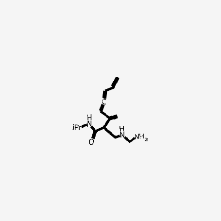 C=CC=C=CC(=C)C(CNCN)C(=O)NC(C)C